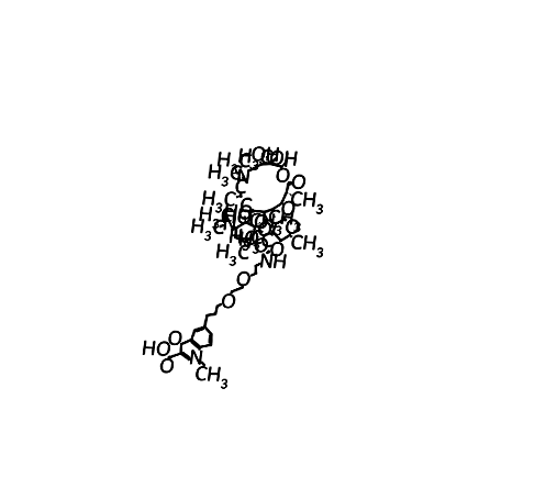 CCn1cc(C(=O)O)c(=O)c2cc(CCCOCCOCCNC(=O)O[C@H]3[C@H](C)O[C@@H](O[C@H]4[C@H](C)[C@@H](O[C@@H]5O[C@H](C)CC(N(C)C)[C@H]5O)[C@](C)(O)C[C@@H](C)CN(C)[C@H](C)[C@@H](O)[C@](C)(O)[C@@H](I)OC(=O)[C@@H]4C)C[C@@]3(C)OC)ccc21